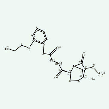 NCCOc1ccccc1CC(=O)NNC(=O)[C@@H]1CC[C@H]2CN1C(=O)N2OS(=O)(=O)O